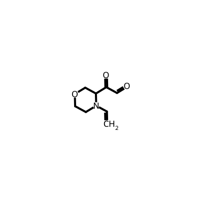 C=CN1CCOCC1C(=O)C=O